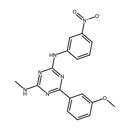 CNc1nc(Nc2cccc([N+](=O)[O-])c2)nc(-c2cccc(OC)c2)n1